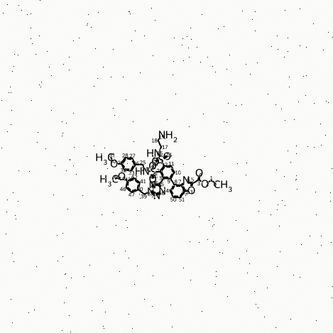 CCOC(=O)c1nc2c(-c3ccc(S(=O)(=O)NCCN)c(S(=O)(=O)NCc4ccc(OC)cc4)c3-c3nnn(Cc4ccc(OC)cc4)n3)cccc2o1